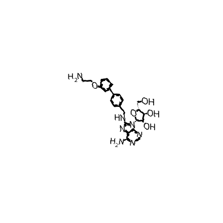 NCCOc1cccc(-c2ccc(CNc3nc4c(N)ncnc4n3[C@@H]3O[C@H](CO)[C@@H](O)[C@H]3O)cc2)c1